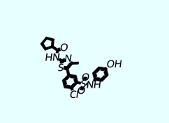 Cc1nc(NC(=O)C2CCCC2)sc1-c1ccc(Cl)c(S(=O)(=O)Nc2ccc(O)cc2)c1